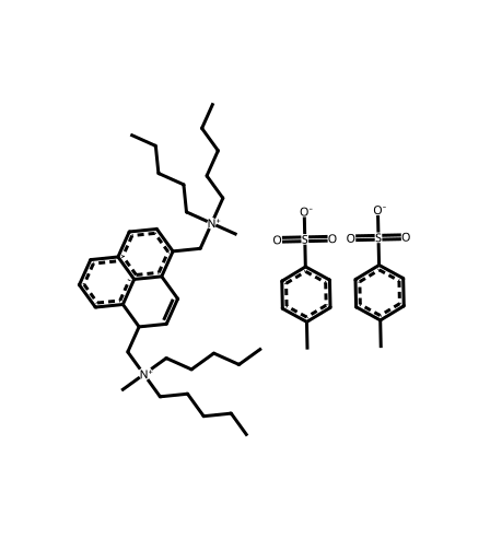 CCCCC[N+](C)(CCCCC)Cc1ccc2cccc3c2c1C=CC3C[N+](C)(CCCCC)CCCCC.Cc1ccc(S(=O)(=O)[O-])cc1.Cc1ccc(S(=O)(=O)[O-])cc1